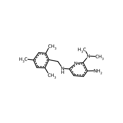 Cc1cc(C)c(CNc2ccc(N)c(N(C)C)n2)c(C)c1